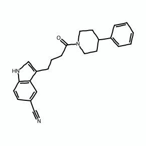 N#Cc1ccc2[nH]cc(CCCC(=O)N3CCC(c4ccccc4)CC3)c2c1